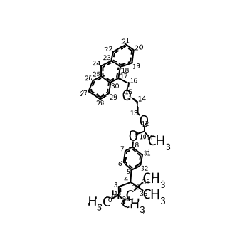 CC(C)=CC(c1ccc(OC(C)OCCOCc2c3ccccc3cc3ccccc23)cc1)C(C)(C)C